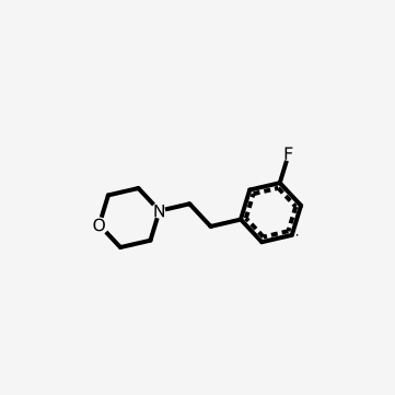 Fc1c[c]cc(CCN2CCOCC2)c1